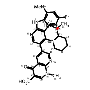 CNc1cc(F)c(F)c2c1[nH]c1ncc(-c3cnc4c(c3)c(=O)c(C(=O)O)cn4C)c(N3CCCCC3N(C)C)c12